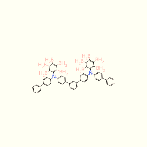 Bc1c(B)c(B)c(N(c2ccc(-c3ccccc3)cc2)c2ccc(-c3cccc(-c4ccc(N(c5ccc(-c6ccccc6)cc5)c5c(B)c(B)c(B)c(B)c5B)cc4)c3)cc2)c(B)c1B